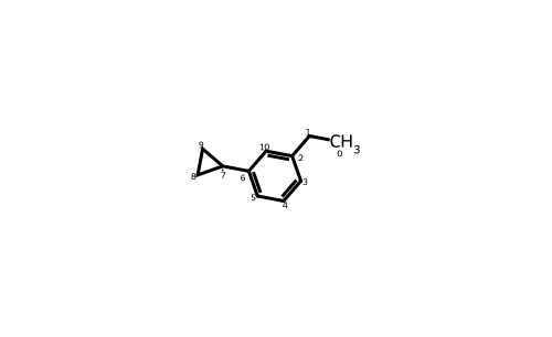 CCc1cccc([C]2CC2)c1